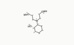 COCCN(CCOC)C1CCCC[C@@H]1O